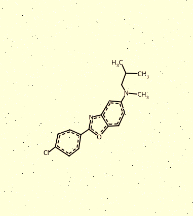 CC(C)CN(C)c1ccc2oc(-c3ccc(Cl)cc3)nc2c1